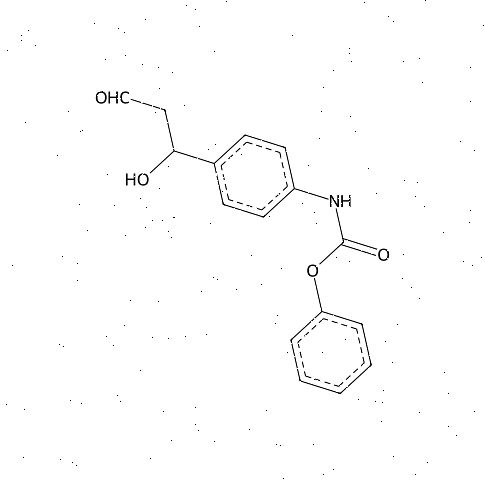 O=CCC(O)c1ccc(NC(=O)Oc2ccccc2)cc1